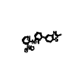 Cc1nc2cc(-c3cccc(Nc4ncccc4[N+](=O)[O-])c3)ccc2s1